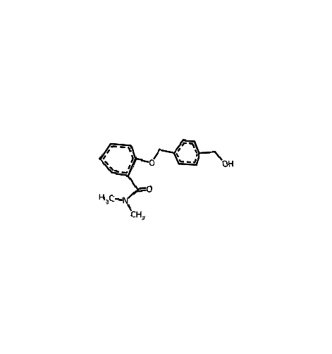 CN(C)C(=O)c1ccccc1OCc1ccc(CO)cc1